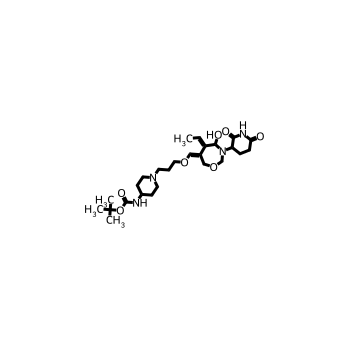 C/C=C1\C(=C\OCCCN2CCC(NC(=O)OC(C)(C)C)CC2)COCN(C2CCC(=O)NC2=O)C1O